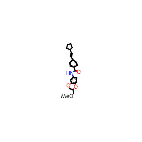 COCC1COc2cc(NC(=O)c3ccc(C#CC4CCCC4)cc3)ccc2O1